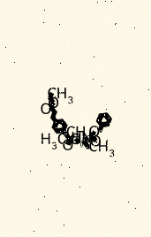 CCOC(=O)CCc1ccc(C(C)(C)C(=O)OC[C@@H](CC)NC(=O)OCc2ccccc2)cc1